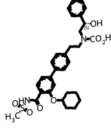 CS(=O)(=O)NC(=O)c1ccc(-c2ccc(CCN(C[C@@H](O)c3ccccc3)C(=O)O)cc2)cc1OC1CCCCC1